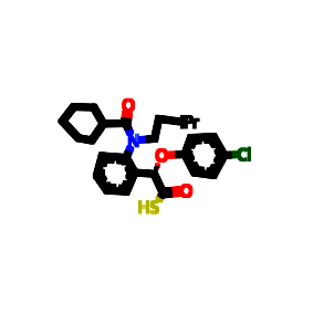 CC(C)CCN(C(=O)C1CCCCC1)c1ccccc1[C@H](Oc1ccc(Cl)cc1)C(=O)S